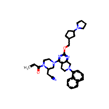 C=CC(=O)N1CCN(c2nc(OCC3CCC(N4CCCC4)C3)nc3c2CCN(c2cccc4ccccc24)C3)CC1CC#N